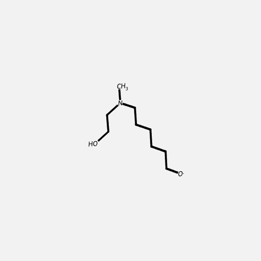 CN(CCO)CCCCCC[O]